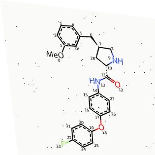 COc1cccc(C[C@H]2CN[C@H](C(=O)Nc3ccc(Oc4ccc(F)cc4)cc3)C2)c1